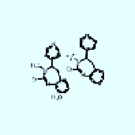 CCC1=Nc2ccccc2CC(c2ccncc2)N1C.CCC1=Nc2ccccc2CC(c2ccncc2)N1C.O